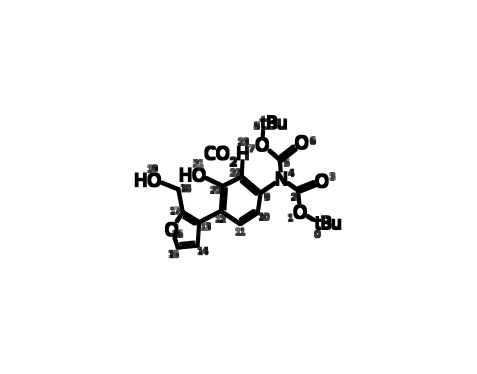 CC(C)(C)OC(=O)N(C(=O)OC(C)(C)C)c1ccc(-c2ccoc2CO)c(O)c1C(=O)O